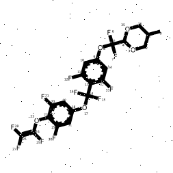 CC1COC(C(F)(F)Oc2cc(F)c(C(F)(F)Oc3cc(F)c(OC(F)=C(F)F)c(F)c3)c(F)c2)OC1